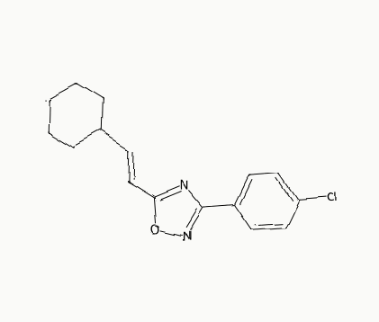 Clc1ccc(-c2noc(C=CC3CC[CH]CC3)n2)cc1